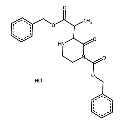 CC(C(=O)OCc1ccccc1)C1NCCN(C(=O)OCc2ccccc2)C1=O.Cl